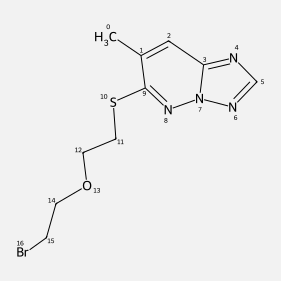 Cc1cc2ncnn2nc1SCCOCCBr